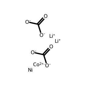 O=C([O-])[O-].O=C([O-])[O-].[Co+2].[Li+].[Li+].[Ni]